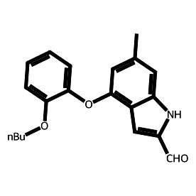 CCCCOc1ccccc1Oc1cc(C)cc2[nH]c(C=O)cc12